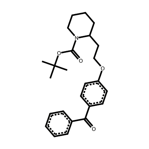 CC(C)(C)OC(=O)N1CCCCC1CCOc1ccc(C(=O)c2ccccc2)cc1